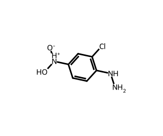 NNc1ccc([NH+]([O-])O)cc1Cl